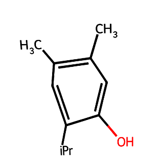 Cc1cc(O)c(C(C)C)cc1C